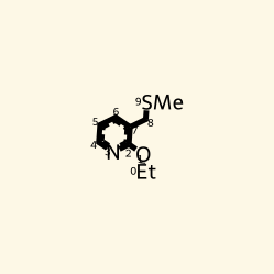 CCOc1ncccc1CSC